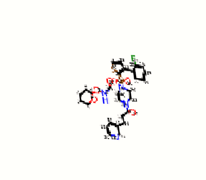 O=C(NOC1CCCCO1)[C@H]1CN(C(=O)CCc2cccnc2)CCN1S(=O)(=O)c1sccc1-c1ccccc1F